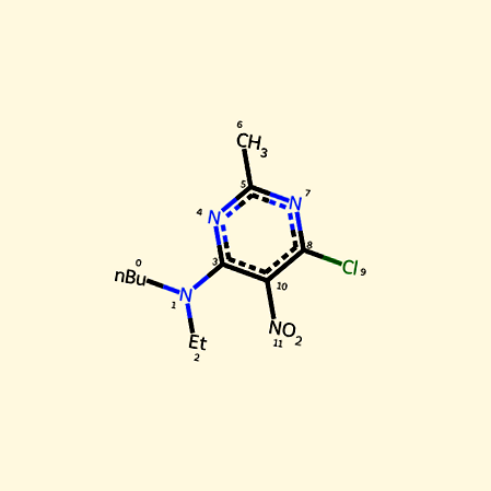 CCCCN(CC)c1nc(C)nc(Cl)c1[N+](=O)[O-]